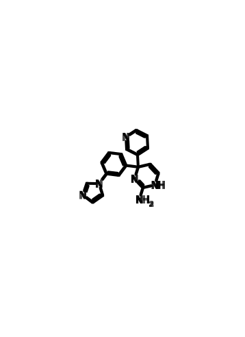 NC1=NC(c2cccnc2)(c2cccc(-n3ccnc3)c2)C=CN1